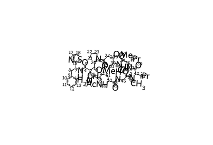 CO[C@H]([C@@H](C)C(=O)N[C@@H](Cc1ccccc1)c1nccs1)[C@@H]1CCCN1C(=O)C[C@@H](OC)[C@H](C(C)C)N(C)C(=O)[C@@H](NC(=O)C(C(C)C)N(C)C(=O)CNC(=O)[C@H](CCCCN)NC(C)=O)C(C)C